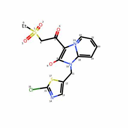 CCS(=O)(=O)CC(=O)c1c([O-])n(Cc2cnc(Cl)s2)c2cccc[n+]12